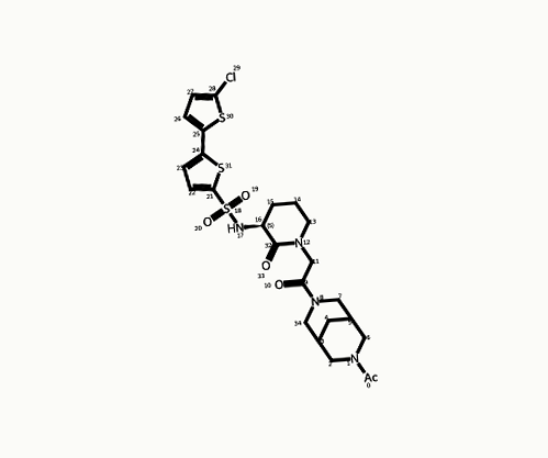 CC(=O)N1CC2CC(C1)CN(C(=O)CN1CCC[C@H](NS(=O)(=O)c3ccc(-c4ccc(Cl)s4)s3)C1=O)C2